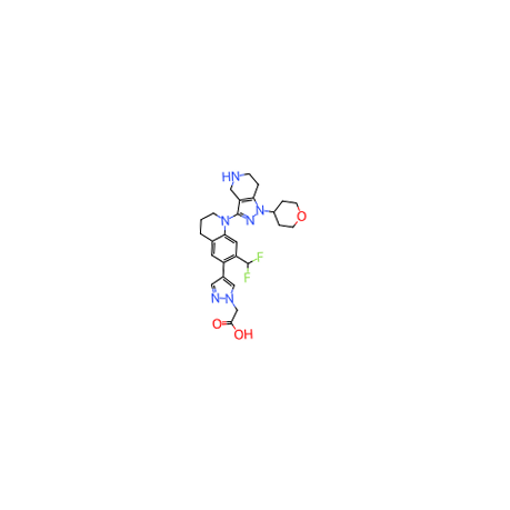 O=C(O)Cn1cc(-c2cc3c(cc2C(F)F)N(c2nn(C4CCOCC4)c4c2CNCC4)CCC3)cn1